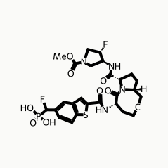 COC(=O)N1C[C@H](NC(=O)[C@@H]2CC[C@@H]3CCCC[C@H](NC(=O)c4cc5cc(C(F)P(=O)(O)O)ccc5s4)C(=O)N32)[C@@H](F)C1